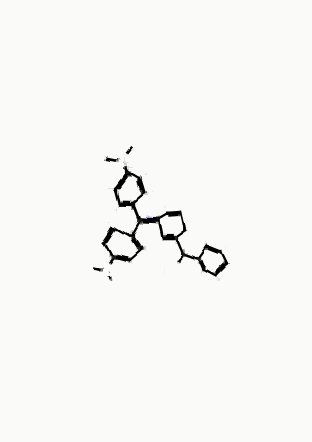 CCN(CC)c1ccc(/C(=C2/C=CCC(C(c3ccccc3)C(Cl)(Cl)Cl)=C2)c2ccc(N(C)C)cc2)cc1